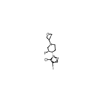 F[C@H]1CN(C2COC2)CC[C@@H]1n1ncc(I)c1Cl